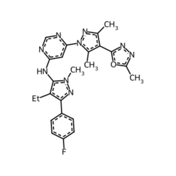 CCc1c(-c2ccc(F)cc2)nn(C)c1Nc1cc(-n2nc(C)c(-c3nnc(C)o3)c2C)ncn1